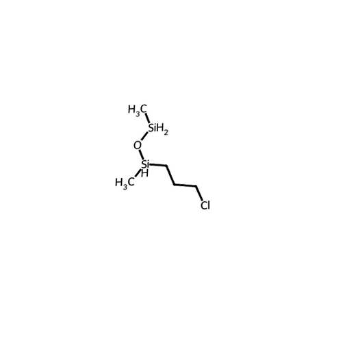 C[SiH2]O[SiH](C)CCCCl